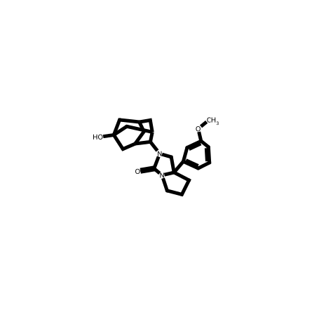 COc1cccc(C23CCCN2C(=O)N(C2C4CC5CC2CC(O)(C5)C4)C3)c1